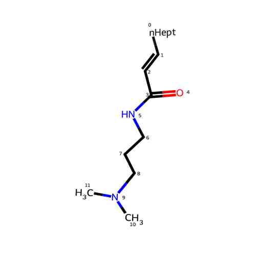 CCCCCCCC=CC(=O)NCCCN(C)C